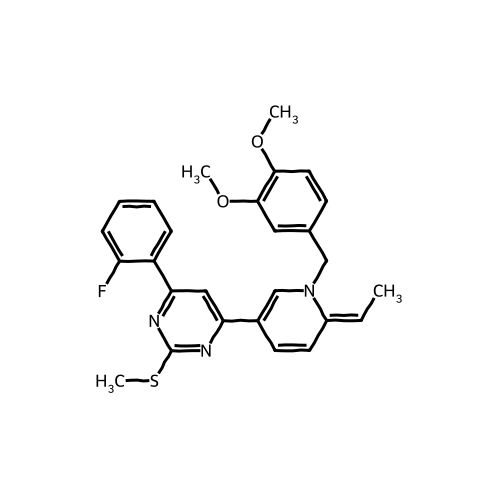 C/C=C1/C=CC(c2cc(-c3ccccc3F)nc(SC)n2)=CN1Cc1ccc(OC)c(OC)c1